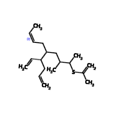 C=CCC(C=C)C(C/C=C\C)CC(C)C(C)SC(=C)C